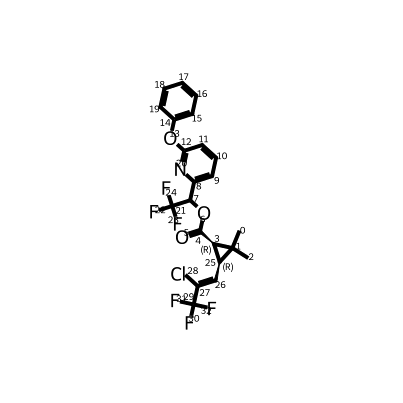 CC1(C)[C@H](C(=O)OC(c2cccc(Oc3ccccc3)n2)C(F)(F)F)[C@@H]1C=C(Cl)C(F)(F)F